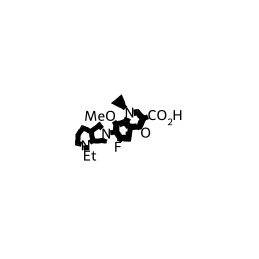 CCN1CCCC2CN(c3c(F)cc4c(=O)c(C(=O)O)cn(C5CC5)c4c3OC)CC21